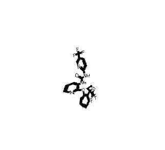 O=C(Nc1ccc(C(F)(F)F)cn1)Nc1cccnc1Oc1ccccc1C1(C(F)(F)F)CCO1